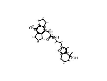 CC1(O)CCCc2oc(CCNC(=O)Nc3c4c(c(Cl)c5c3CCC5)CCC4)cc21